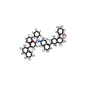 c1ccc(-c2ccccc2N(c2ccc(-c3cccc4ccccc34)cc2)c2ccc3c(-c4ccc5c(ccc6oc7ccccc7c65)c4)cccc3c2)cc1